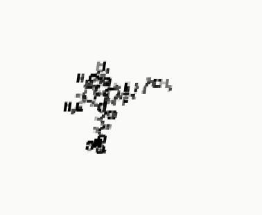 CCCCCC(F)(F)c1cc(OC(=O)CCCO[N+](=O)[O-])c2c(c1)OC(C)(C)C1CC=C(C)CC21